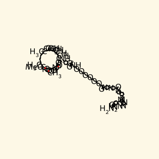 CO[C@H]1C[C@@H]2CC[C@@H](C)[C@@](O)(O2)C(=O)C(=O)N2CCCC[C@H]2C(=O)O[C@H]([C@H](N)C[C@H]2CC[C@H](OC(=O)NCCOCCOCCOCCOCCOCCOCCC(=O)N3CCC(N4CCC(C(=O)N5CCc6cc(Cn7nc(-c8ccc9oc(N)nc9c8)c8c(N)ncnc87)ccc6C5)CC4)CC3)CC2)C[C@@H](O)[C@H](C)/C=C(\C)[C@@H](O)[C@@H](O)C(=O)[C@H](C)C[C@H](C)/C=C/C=C/C=C/1C